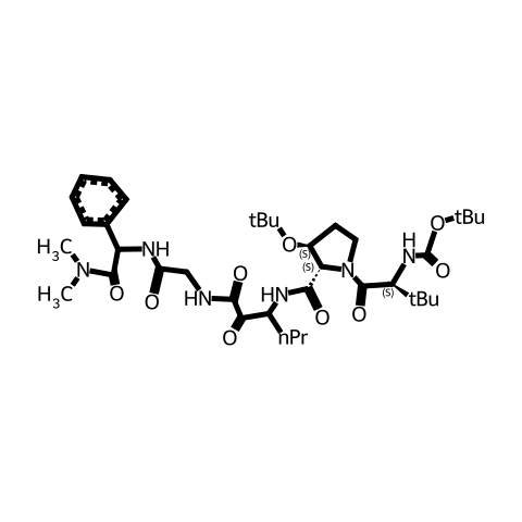 CCCC(NC(=O)[C@@H]1[C@@H](OC(C)(C)C)CCN1C(=O)[C@@H](NC(=O)OC(C)(C)C)C(C)(C)C)C(=O)C(=O)NCC(=O)NC(C(=O)N(C)C)c1ccccc1